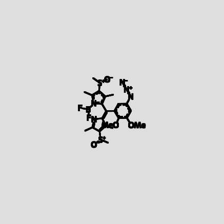 COc1cc(N=[N+]=[N-])cc(/C(=C2/N=C(C)C([S+](C)[O-])=C2C)c2c(C)c([S+](C)[O-])c(C)n2B(F)F)c1OC